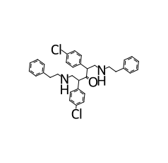 O=C(C(CNCCc1ccccc1)c1ccc(Cl)cc1)C(CNCCc1ccccc1)c1ccc(Cl)cc1